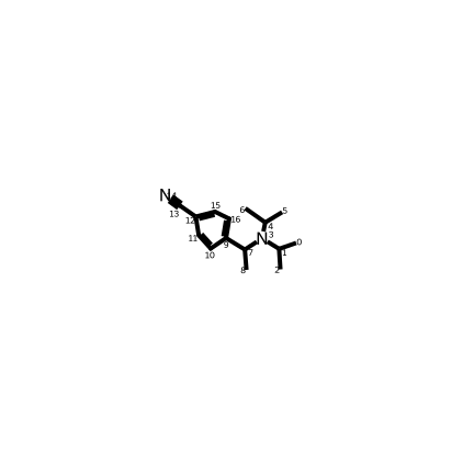 CC(C)N(C(C)C)C(C)c1ccc(C#N)cc1